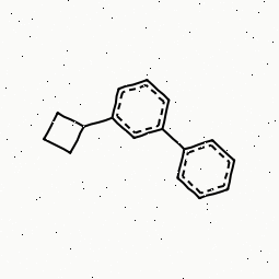 c1ccc(-c2cccc(C3CCC3)c2)cc1